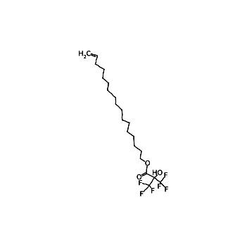 C=CCCCCCCCCCCCCCCCOC(=O)C(O)(C(F)(F)F)C(F)(F)F